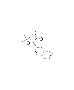 COC(=O)C(OC(C)(C)C)c1ccc2ccccc2c1